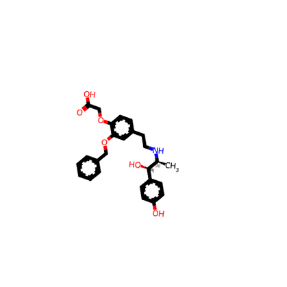 C[C@H](NCCc1ccc(OCC(=O)O)c(OCc2ccccc2)c1)[C@H](O)c1ccc(O)cc1